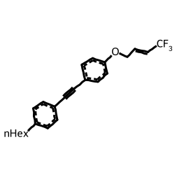 CCCCCCc1ccc(C#Cc2ccc(OCC=CC(F)(F)F)cc2)cc1